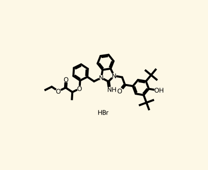 Br.CCOC(=O)C(C)Oc1ccccc1Cn1c(=N)n(CC(=O)c2cc(C(C)(C)C)c(O)c(C(C)(C)C)c2)c2ccccc21